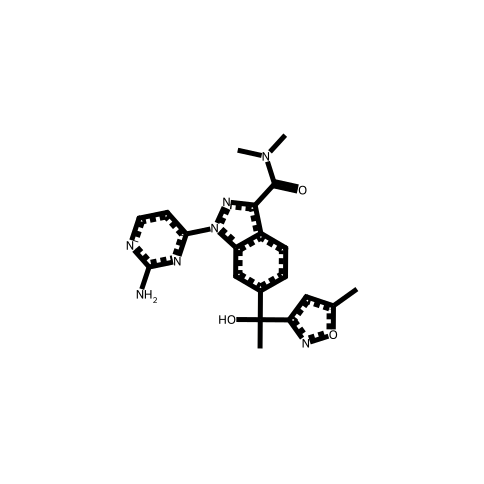 Cc1cc(C(C)(O)c2ccc3c(C(=O)N(C)C)nn(-c4ccnc(N)n4)c3c2)no1